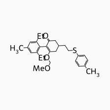 CCc1cc(C)cc(CC)c1C1=C(OCOC)CC(CCSc2ccc(C)cc2)CC1=O